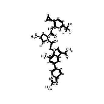 CC(=O)c1cn(CC(=O)N2[C@H](I)[C@@H](C)C[C@H]2C(=O)Nc2nc(C(F)(F)F)ccc2C2CC2)c2c(C)cc(-c3ccc4nc(C)nn4c3)cc12